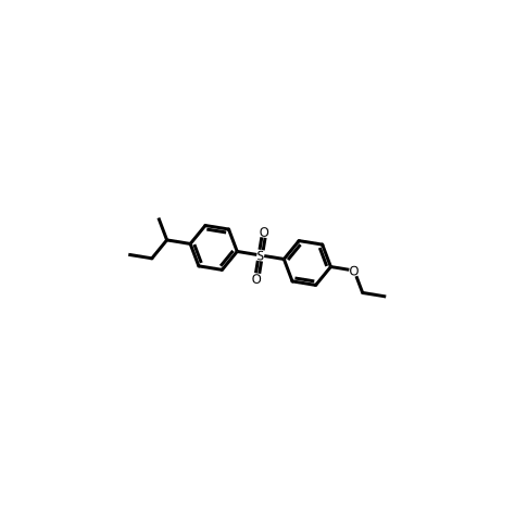 CCOc1ccc(S(=O)(=O)c2ccc(C(C)CC)cc2)cc1